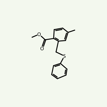 COC(=O)c1ccc(C)cc1CSc1ccccc1